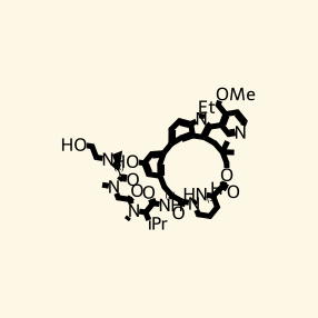 CCn1c(-c2cnccc2COC)c2c3cc(ccc31)-c1cc(O)cc(c1)C[C@H](NC(=O)C(C(C)C)N(C)C(=O)CN(C)C(=O)[C@H]1CN1CCO)C(=O)N1CCC[C@H](N1)C(=O)OCC(C)(C)C2